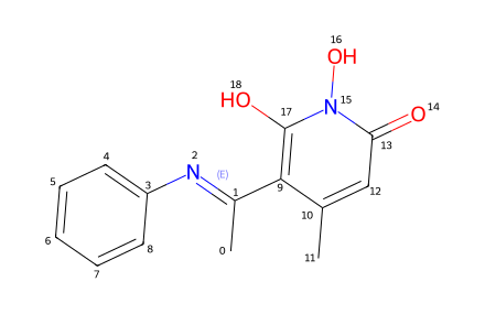 C/C(=N\c1ccccc1)c1c(C)cc(=O)n(O)c1O